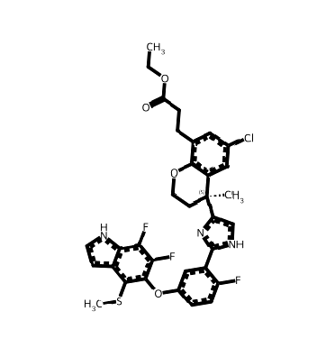 CCOC(=O)CCc1cc(Cl)cc2c1OCC[C@]2(C)c1c[nH]c(-c2cc(Oc3c(F)c(F)c4[nH]ccc4c3SC)ccc2F)n1